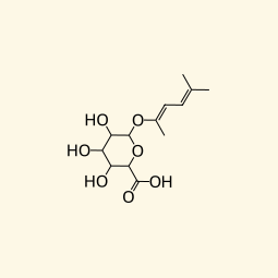 CC(C)=C/C=C(\C)OC1OC(C(=O)O)C(O)C(O)C1O